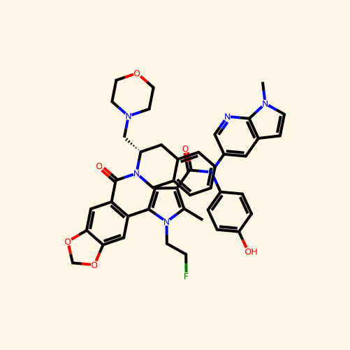 Cc1c(C(=O)N(c2ccc(O)cc2)c2cnc3c(ccn3C)c2)cc(-c2cc3c(cc2C(=O)N2Cc4ccccc4C[C@H]2CN2CCOCC2)OCO3)n1CCF